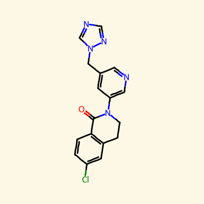 O=C1c2ccc(Cl)cc2CCN1c1cncc(Cn2cncn2)c1